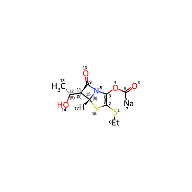 CCSC1=C(O[C](=O)[Na])N2C(=O)[C@H]([C@@H](C)O)[C@H]2S1